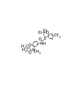 CCC1(CC)C/C(=C\C(=O)Nc2ccc3c(c2)N(C)C(=O)C(C)(C)O3)c2ccc(C(F)(F)F)cc2O1